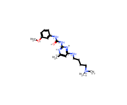 COc1cccc(NC(=O)Nc2nc(C)cc(NCCCCN(C)C)n2)c1